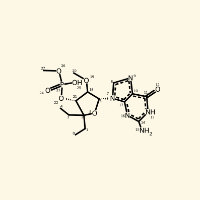 CCC1(CC)O[C@@H](n2cnc3c(=O)[nH]c(N)nc32)C(OC)[C@H]1OP(=O)(O)OC